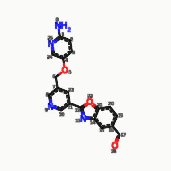 Nc1ccc(OCc2cncc(-c3nc4cc(C=O)ccc4o3)c2)cn1